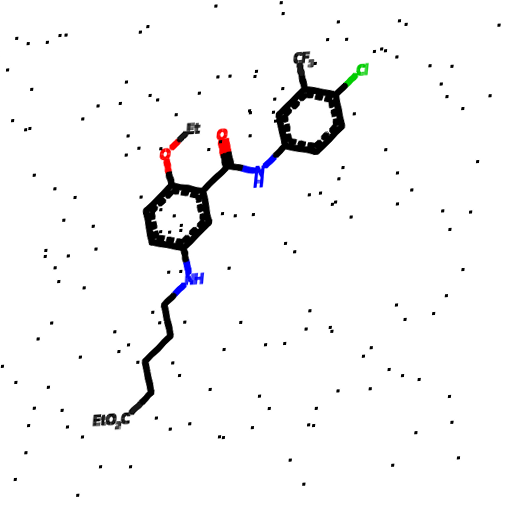 CCOC(=O)CCCCNc1ccc(OCC)c(C(=O)Nc2ccc(Cl)c(C(F)(F)F)c2)c1